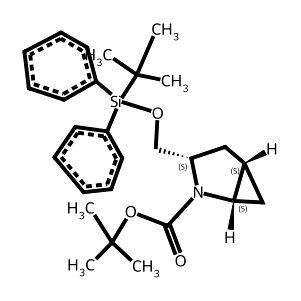 CC(C)(C)OC(=O)N1[C@H](CO[Si](c2ccccc2)(c2ccccc2)C(C)(C)C)C[C@@H]2C[C@@H]21